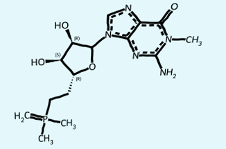 C=P(C)(C)CC[C@H]1OC(n2cnc3c(=O)n(C)c(N)nc32)[C@H](O)[C@@H]1O